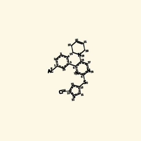 CC(=O)c1cccc(-c2nc(Sc3csc(Cl)c3)ncc2N2CC=CCC2)c1